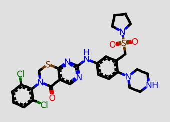 O=C1c2cnc(Nc3ccc(N4CCNCC4)c(CS(=O)(=O)N4CCCC4)c3)nc2SCN1c1c(Cl)cccc1Cl